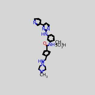 CN1CCN(NCc2ccc(C(=O)Nc3cccc(Nc4nccc(-c5cccnc5)n4)c3)cc2)CC1.CS(=O)(=O)O